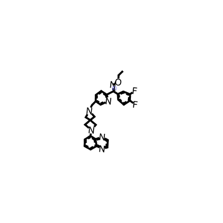 CCO/N=C(\c1ccc(F)c(F)c1)c1ccc(CN2CC3(C2)CN(c2cccc4nccnc24)C3)cn1